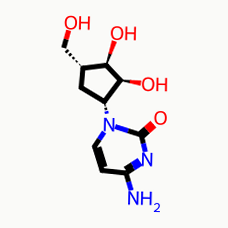 Nc1ccn([C@@H]2C[C@H](CO)[C@@H](O)[C@H]2O)c(=O)n1